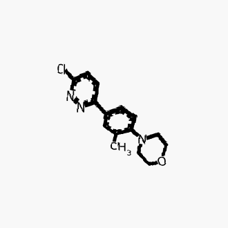 Cc1cc(-c2ccc(Cl)nn2)ccc1N1CCOCC1